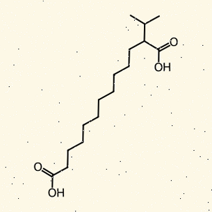 CC(C)C(CCCCCCCCCCC(=O)O)C(=O)O